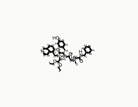 CCOC(OCC)[C@H](C)N(Cc1cccc2cnccc12)C(=O)[C@H](Cc1ccc(O)cc1)NC(=O)CN(C)NC(=O)NCc1ccccc1